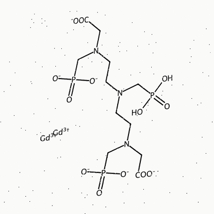 O=C([O-])CN(CCN(CCN(CC(=O)[O-])CP(=O)([O-])[O-])CP(=O)(O)O)CP(=O)([O-])[O-].[Gd+3].[Gd+3]